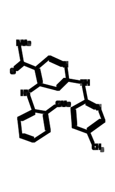 CNC(=O)c1cnc(Nc2ccc(C)cn2)cc1Nc1ccccc1OC